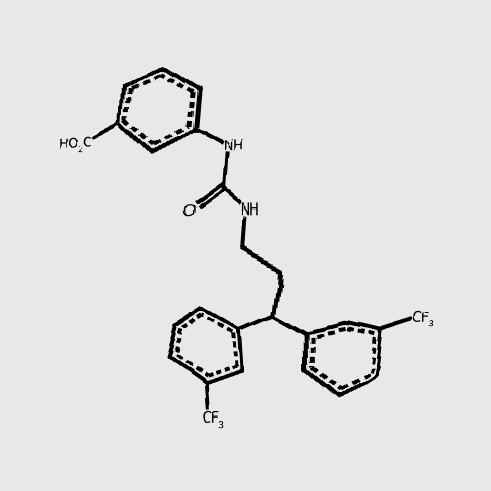 O=C(NCCC(c1cccc(C(F)(F)F)c1)c1cccc(C(F)(F)F)c1)Nc1cccc(C(=O)O)c1